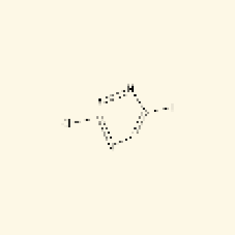 Clc1cnc(I)cn1